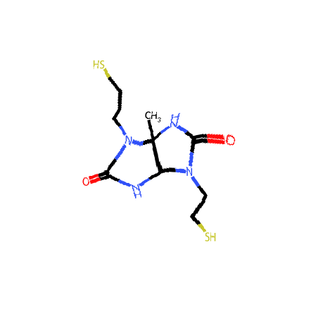 CC12NC(=O)N(CCS)C1NC(=O)N2CCS